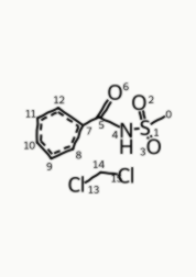 CS(=O)(=O)NC(=O)c1ccccc1.ClCCl